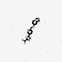 FC(F)c1nnc(-c2ccc(COc3ccn4cnnc4c3)nc2)o1